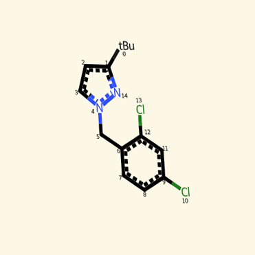 CC(C)(C)c1ccn(Cc2ccc(Cl)cc2Cl)n1